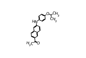 CC(=O)c1ccc2cc(Nc3ccc(OC(C)C)cc3)ccc2c1